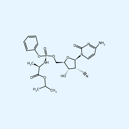 CC(C)OC(=O)[C@@H](C)N[P@@](=O)(OC[C@H]1O[C@@H](n2ccc(N)nc2=O)[C@H](C#N)[C@@H]1O)Oc1ccccc1